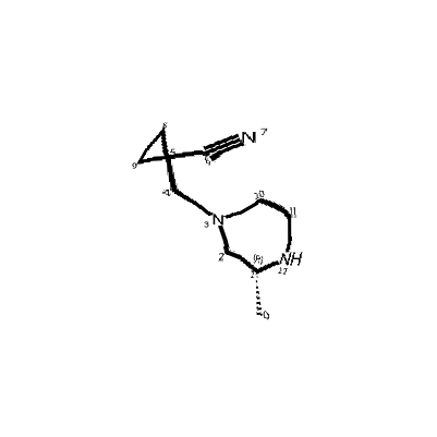 C[C@@H]1CN(CC2(C#N)CC2)CCN1